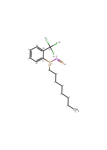 CCCCCCCC[SH](P=S)c1ccccc1C(F)(F)F